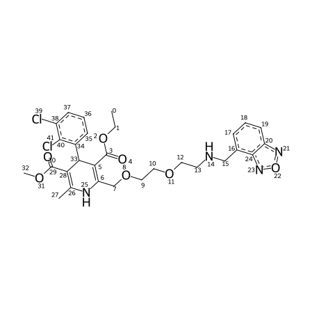 CCOC(=O)C1=C(COCCOCCNCc2cccc3nonc23)NC(C)=C(C(=O)OC)C1c1cccc(Cl)c1Cl